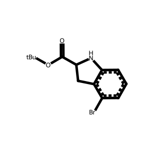 CC(C)(C)OC(=O)C1Cc2c(Br)cccc2N1